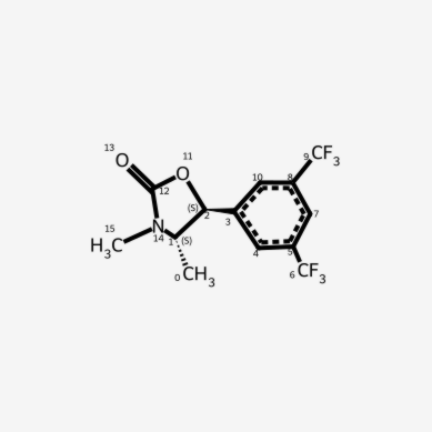 C[C@H]1[C@H](c2cc(C(F)(F)F)cc(C(F)(F)F)c2)OC(=O)N1C